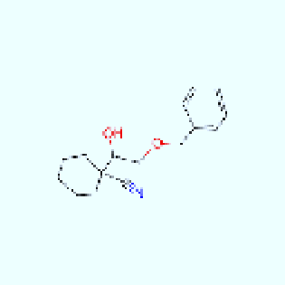 N#CC1(C(O)COCc2ccccc2)CCCCC1